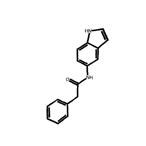 O=C(Cc1ccccc1)Nc1ccc2[nH]ccc2c1